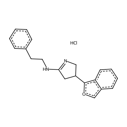 Cl.c1ccc(CCNC2=NCC(c3occ4ccccc34)C2)cc1